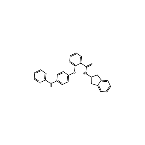 O=C(NC1Cc2ccccc2C1)c1cccnc1Oc1ccc(Nc2ccccn2)cc1